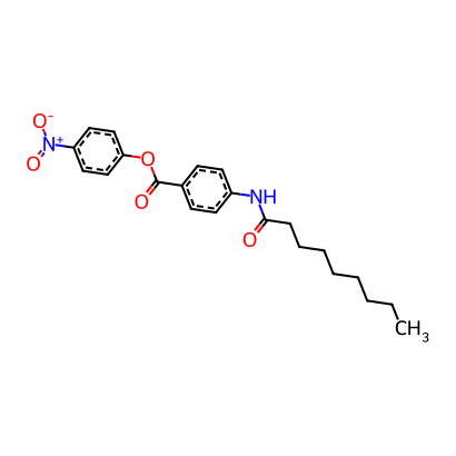 CCCCCCCCC(=O)Nc1ccc(C(=O)Oc2ccc([N+](=O)[O-])cc2)cc1